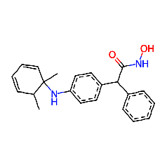 CC1C=CC=CC1(C)Nc1ccc(C(C(=O)NO)c2ccccc2)cc1